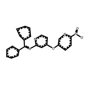 O=[N+]([O-])c1ccc(Oc2ccnc(N=C(c3ccccc3)c3ccccc3)c2)cn1